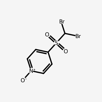 O=S(=O)(c1cc[n+]([O-])cc1)C(Br)Br